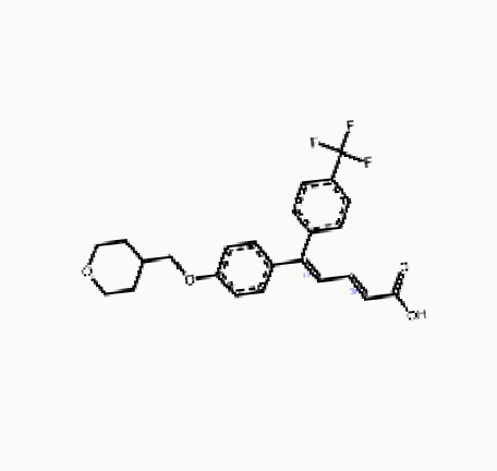 O=C(O)/C=C/C=C(/c1ccc(OCC2CCOCC2)cc1)c1ccc(C(F)(F)F)cc1